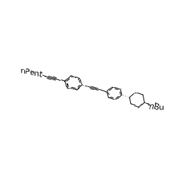 CCCCCC#Cc1ccc(C#Cc2ccc([C@H]3CC[C@H](CCCC)CC3)cc2)cc1